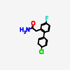 NC(=O)Cc1cc(F)ccc1C1=CCC(Cl)C=C1